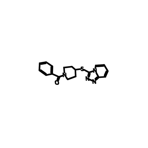 O=C(c1ccccc1)N1CCC(Sc2nnc3ccccn23)CC1